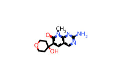 Cn1c(=O)c(C2(O)CCOCC2)cc2cnc(N)nc21